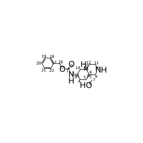 O=C(N[C@H]1CC[C@]2(CO)CNCC[C@@H]2C1)OCc1ccccc1